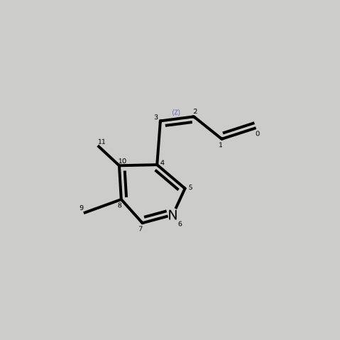 C=C/C=C\c1cncc(C)c1C